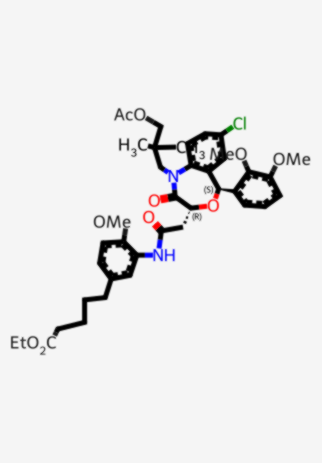 CCOC(=O)CCCCc1ccc(OC)c(NC(=O)C[C@H]2O[C@H](c3cccc(OC)c3OC)c3cc(Cl)ccc3N(CC(C)(C)COC(C)=O)C2=O)c1